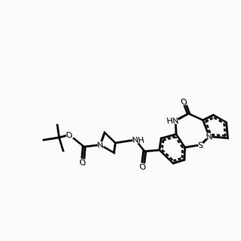 CC(C)(C)OC(=O)N1CC(NC(=O)c2ccc3c(c2)NC(=O)c2cccn2S3)C1